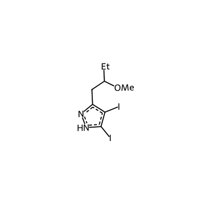 CCC(Cc1n[nH]c(I)c1I)OC